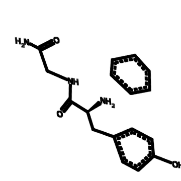 NC(=O)CNC(=O)[C@@H](N)Cc1ccc(O)cc1.c1ccccc1